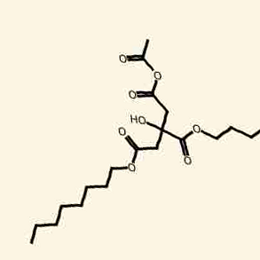 CCCCCCCCOC(=O)CC(O)(CC(=O)OC(C)=O)C(=O)OCCCC